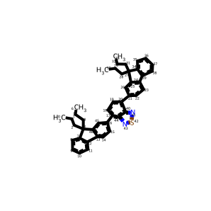 CCCC1(CCC)c2ccccc2-c2ccc(-c3ccc(-c4ccc5c(c4)C(CCC)(CCC)c4ccccc4-5)c4nsnc34)cc21